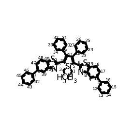 CC[Si]1(CC)C(c2nc3cc(-c4ccccc4)ccc3s2)=C(c2ccccc2)C(c2ccccc2)=C1c1nc2cc(-c3ccccc3)ccc2s1